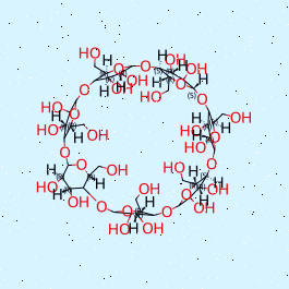 OC[C@H]1OC2OC3[C@@H](CO)OC(OC4[C@H](O)C(O)C(OC5[C@@H](CO)OC(O[C@H]6[C@H](O)C(O)[C@H](OC7[C@@H](CO)OC(O[C@H]8[C@H](O)C(O)C(OC1[C@H](O)C2O)O[C@@H]8CO)[C@H](O)[C@H]7O)O[C@@H]6CO)[C@H](O)[C@H]5O)O[C@@H]4CO)[C@H](O)[C@H]3O